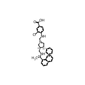 C[C@@H](NC[C@H]1CN(CNc2ccc(C(=O)O)cc2Cl)C[C@@H]1c1ccccc1)c1cccc2ccccc12